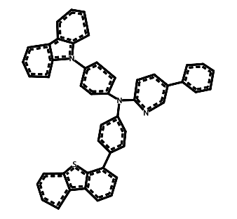 c1ccc(-c2ccc(N(c3ccc(-c4cccc5c4sc4ccccc45)cc3)c3ccc(-n4c5ccccc5c5ccccc54)cc3)nc2)cc1